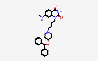 CN(C)c1ccc2c(=O)[nH]c(=O)n(CCCCN3CCC(OC(c4ccccc4)c4ccccc4)CC3)c2c1